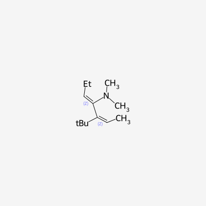 C/C=C(\C(=C\CC)N(C)C)C(C)(C)C